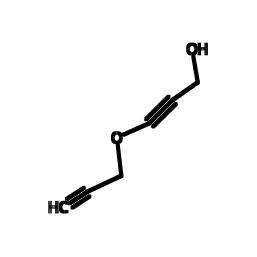 C#CCOC#CCO